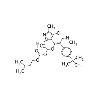 C/N=C\C(=C(\OC(C)OC(=O)OCCC(C)C)c1c(Cl)c(C)nn1C)c1ccc(C(C)(C)C)cc1